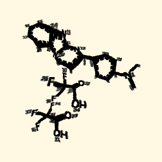 CN(C)c1ccc(-c2ccn3c(n2)nc2ccccc23)cc1.O=C(O)C(F)(F)F.O=C(O)C(F)(F)F